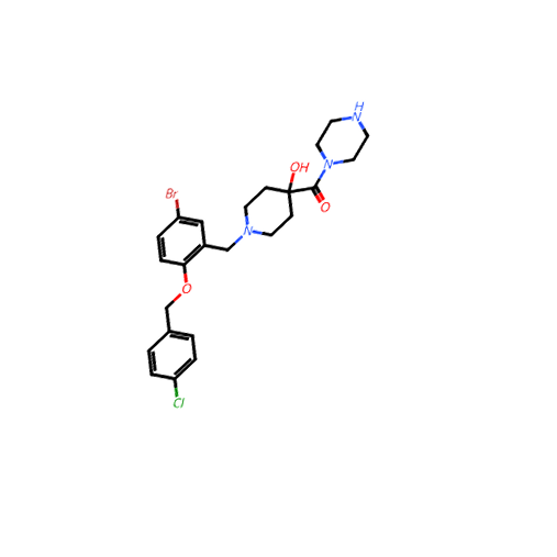 O=C(N1CCNCC1)C1(O)CCN(Cc2cc(Br)ccc2OCc2ccc(Cl)cc2)CC1